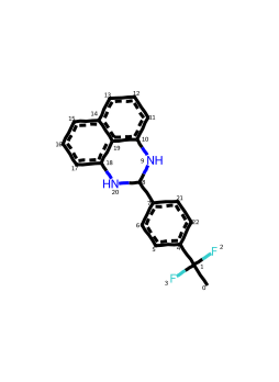 CC(F)(F)c1ccc(C2Nc3cccc4cccc(c34)N2)cc1